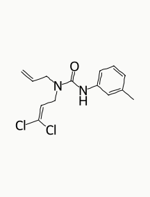 C=CCN(CC=C(Cl)Cl)C(=O)Nc1cccc(C)c1